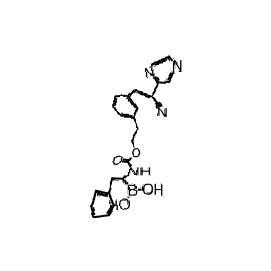 N#CC(=Cc1cccc(CCOC(=O)NC(Cc2ccccc2)B(O)O)c1)c1cnccn1